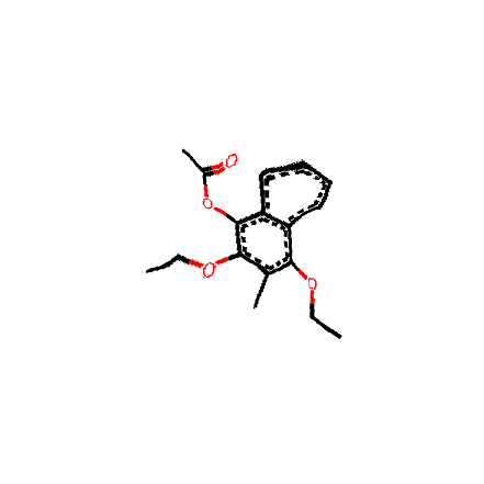 CCOc1c(C)c(OCC)c2ccccc2c1OC(C)=O